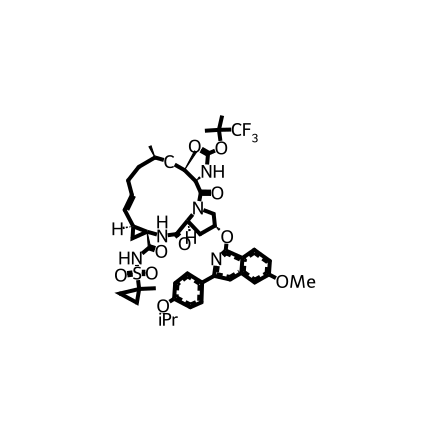 COc1ccc2c(O[C@@H]3C[C@H]4C(=O)N[C@]5(C(=O)NS(=O)(=O)C6(C)CC6)C[C@H]5/C=C/CC[C@@H](C)C[C@@H](C)[C@H](NC(=O)OC(C)(C)C(F)(F)F)C(=O)N4C3)nc(-c3ccc(OC(C)C)cc3)cc2c1